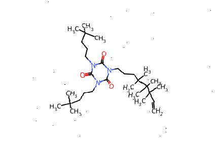 C=CC(C)(C)C(C)(C)C(C)(C)CCCn1c(=O)n(CCCC(C)(C)C)c(=O)n(CCCC(C)(C)C)c1=O